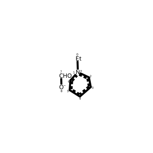 CC[n+]1ccccc1.O=C[O-]